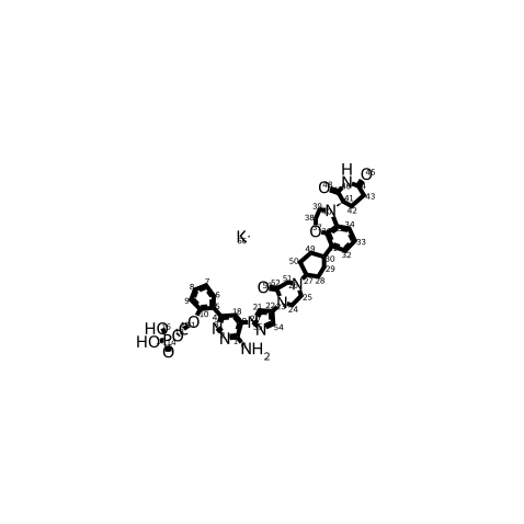 Nc1nnc(-c2ccccc2OCOP(=O)(O)O)cc1-n1cc(N2CCN(C3CCC(c4cccc5c4OCCN5[C@H]4CCC(=O)NC4=O)CC3)CC2=O)cn1.[K]